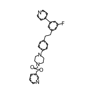 O=S(=O)(c1cccnc1)N1CCN(c2ccc(CCc3cc(F)cc(-c4ccncc4)c3)cc2)CC1